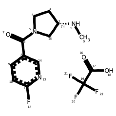 CN[C@H]1CCN(C(=O)c2ccc(F)nc2)C1.O=C(O)C(F)(F)F